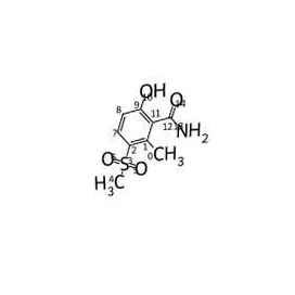 Cc1c(S(C)(=O)=O)ccc(O)c1C(N)=O